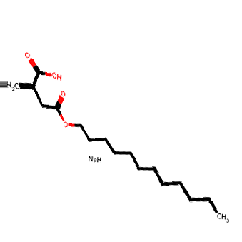 C=C(CC(=O)OCCCCCCCCCCCC)C(=O)O.[NaH]